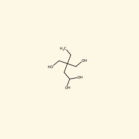 CCC(CO)(CO)CC(O)O